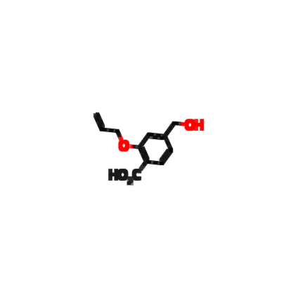 C=CCOc1cc(CO)ccc1C(=O)O